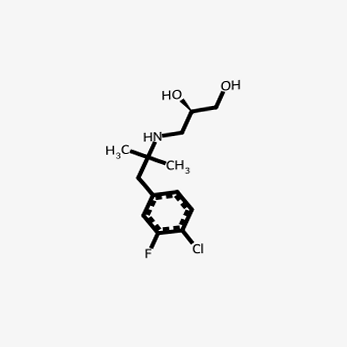 CC(C)(Cc1ccc(Cl)c(F)c1)NC[C@@H](O)CO